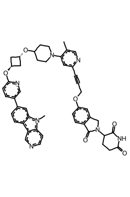 Cc1cnc(C#CCOc2ccc3c(c2)CN(C2CCC(=O)NC2=O)C3=O)cc1N1CCC(O[C@H]2C[C@H](Oc3ccc(-c4ccc5c6cnccc6n(C)c5c4)cn3)C2)CC1